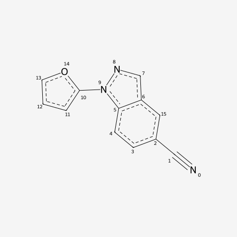 N#Cc1ccc2c(cnn2-c2ccco2)c1